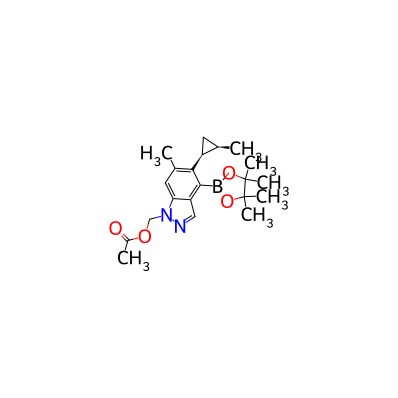 CC(=O)OCn1ncc2c(B3OC(C)(C)C(C)(C)O3)c([C@H]3C[C@H]3C)c(C)cc21